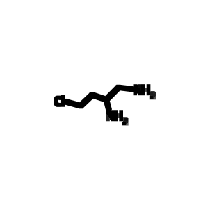 NCC(N)CCCl